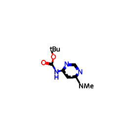 CNc1cc(NC(=O)OC(C)(C)C)ncn1